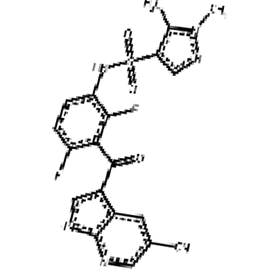 Cc1c(S(=O)(=O)Nc2ccc(F)c(C(=O)c3c[nH]c4ncc(C#N)cc34)c2F)cnn1C